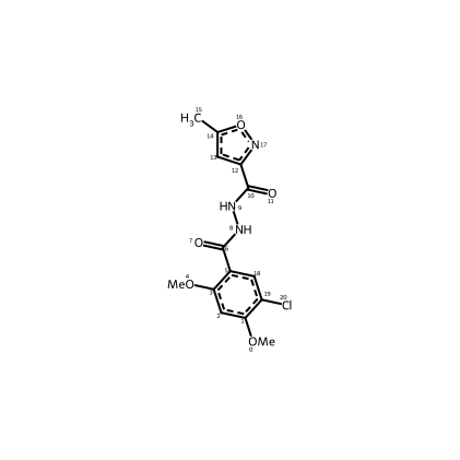 COc1cc(OC)c(C(=O)NNC(=O)c2cc(C)on2)cc1Cl